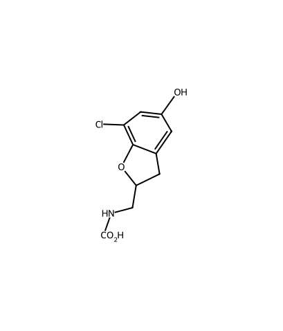 O=C(O)NCC1Cc2cc(O)cc(Cl)c2O1